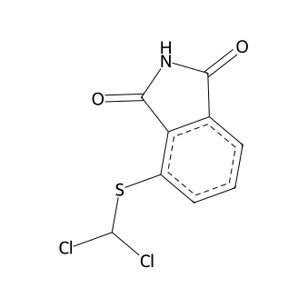 O=C1NC(=O)c2c(SC(Cl)Cl)cccc21